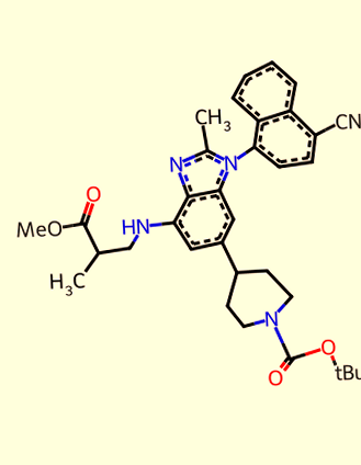 COC(=O)C(C)CNc1cc(C2CCN(C(=O)OC(C)(C)C)CC2)cc2c1nc(C)n2-c1ccc(C#N)c2ccccc12